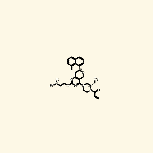 C=CC(=O)N1CCN(c2nc(OCCN(CC)CC)nc3c2CO[C@H](c2cccc4cccc(C)c24)C3)C[C@@H]1CC#N